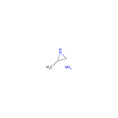 CC1CN1.N